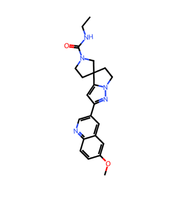 CCNC(=O)N1CCC2(CCn3nc(-c4cnc5ccc(OC)cc5c4)cc32)C1